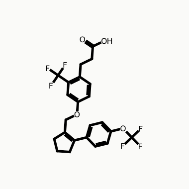 O=C(O)CCc1ccc(OCC2=C(c3ccc(OC(F)(F)F)cc3)CCC2)cc1C(F)(F)F